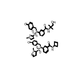 Cn1ccc(S(=O)(=O)N(Cc2ccc(Cl)cc2)c2cccc(C(=O)NC(C)(C)CO)c2)n1.Cn1nccc1S(=O)(=O)N(Cc1ccc(Cl)cc1)c1cccc(C(=O)NC2CCC2)c1